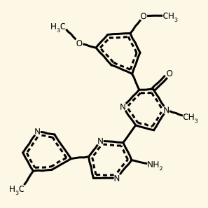 COc1cc(OC)cc(-c2nc(-c3nc(-c4cncc(C)c4)cnc3N)cn(C)c2=O)c1